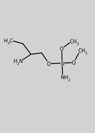 CCC(N)CO[Si](N)(OC)OC